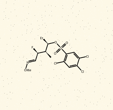 CC[C@@H](OS(=O)(=O)c1cc(Cl)c(Cl)cc1Cl)[C@@H](C)[C@H](F)C=NOC